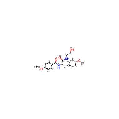 CCCOc1ccc(C(=O)NC(Cc2ccc(OCC)cc2)C(=O)NCCO)cc1